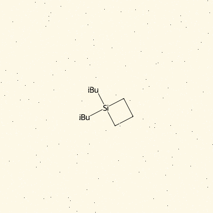 CCC(C)[Si]1(C(C)CC)CCC1